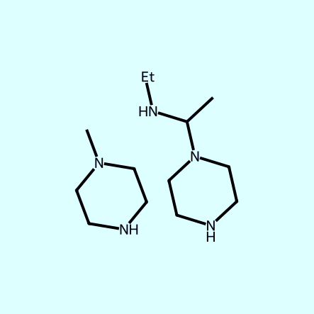 CCNC(C)N1CCNCC1.CN1CCNCC1